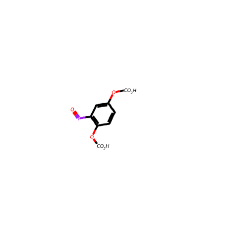 O=Ic1cc(OC(=O)O)ccc1OC(=O)O